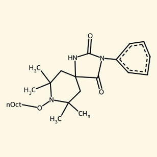 CCCCCCCCON1C(C)(C)CC2(CC1(C)C)NC(=O)N(c1ccccc1)C2=O